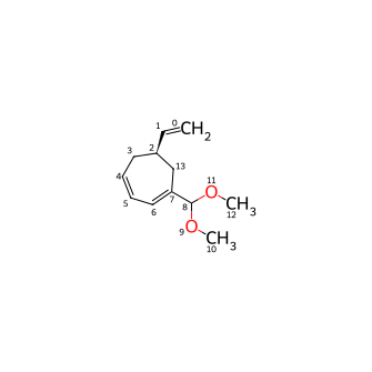 C=C[C@@H]1CC=CC=C(C(OC)OC)C1